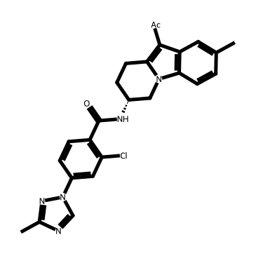 CC(=O)c1c2n(c3ccc(C)cc13)C[C@H](NC(=O)c1ccc(-n3cnc(C)n3)cc1Cl)CC2